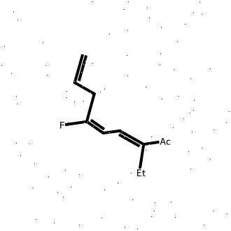 C=CC/C(F)=C\C=C(/CC)C(C)=O